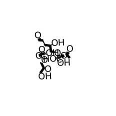 CC=O.O=CC[C@H](OP(=O)(O)OCC(O)C=O)[C@H](O)COP(=O)(O)O